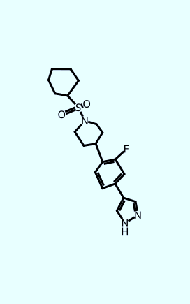 O=S(=O)(C1CCCCC1)N1CCC(c2ccc(-c3cn[nH]c3)cc2F)CC1